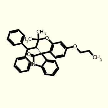 CCCOc1ccc2c(c1)OC(C)(C)C(C(c1ccccc1)c1ccccc1)[C@]21C(=O)Nc2ccccc21